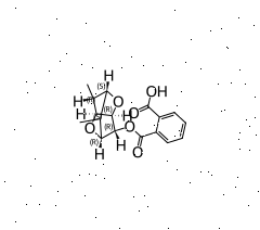 CC1[C@H]2O[C@@H]3[C@@H](O[C@H]1[C@H]3OC(=O)c1ccccc1C(=O)O)[C@@H]2C